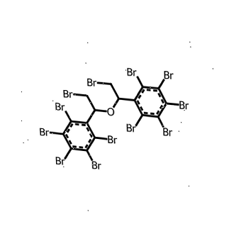 BrCC(OC(CBr)c1c(Br)c(Br)c(Br)c(Br)c1Br)c1c(Br)c(Br)c(Br)c(Br)c1Br